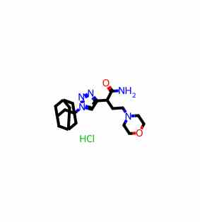 Cl.NC(=O)C(CCN1CCOCC1)c1cn(C23CC4CC(CC(C4)C2)C3)nn1